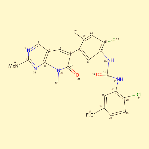 CNc1ncc2cc(-c3cc(NC(=O)Nc4cc(C(F)(F)F)ccc4Cl)c(F)cc3C)c(=O)n(C)c2n1